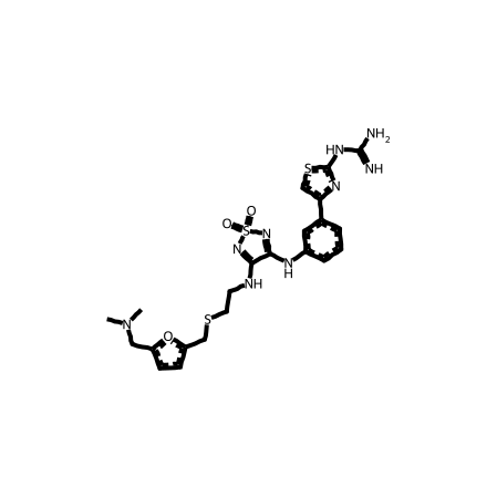 CN(C)Cc1ccc(CSCCNC2=NS(=O)(=O)N=C2Nc2cccc(-c3csc(NC(=N)N)n3)c2)o1